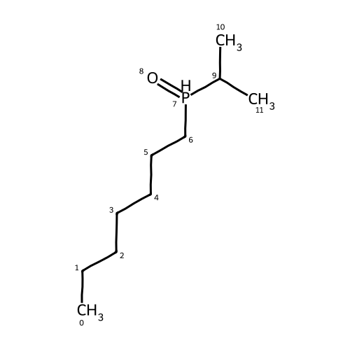 CCCCCCC[PH](=O)C(C)C